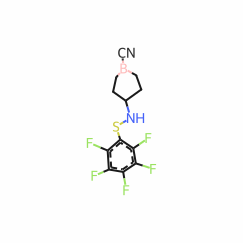 N#CB1CCC(NSc2c(F)c(F)c(F)c(F)c2F)CC1